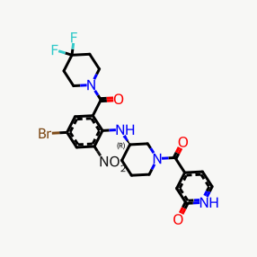 O=C(c1cc[nH]c(=O)c1)N1CCC[C@@H](Nc2c(C(=O)N3CCC(F)(F)CC3)cc(Br)cc2[N+](=O)[O-])C1